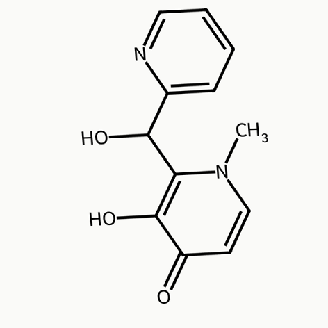 Cn1ccc(=O)c(O)c1C(O)c1ccccn1